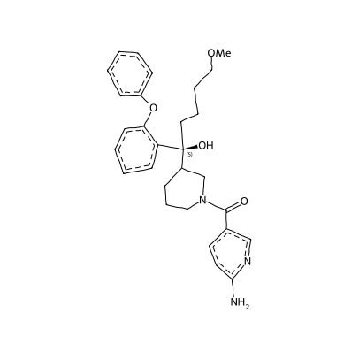 COCCCC[C@@](O)(c1ccccc1Oc1ccccc1)C1CCCN(C(=O)c2ccc(N)nc2)C1